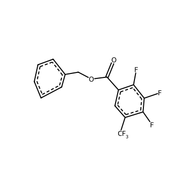 O=C(OCc1ccccc1)c1cc(C(F)(F)F)c(F)c(F)c1F